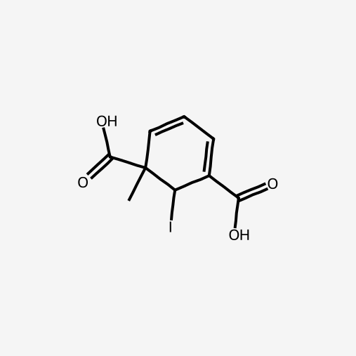 CC1(C(=O)O)C=CC=C(C(=O)O)C1I